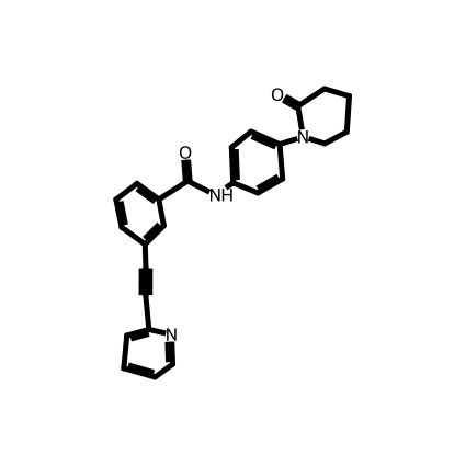 O=C(Nc1ccc(N2CCCCC2=O)cc1)c1cccc(C#Cc2ccccn2)c1